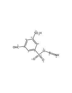 N=BOS(=O)(=O)c1cc(C=O)cc(S(=O)(=O)O)c1